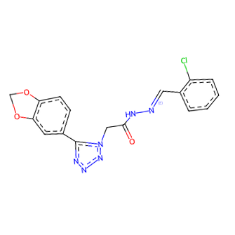 O=C(Cn1nnnc1-c1ccc2c(c1)OCO2)N/N=C/c1ccccc1Cl